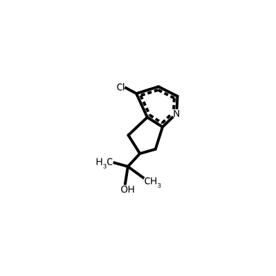 CC(C)(O)C1Cc2nccc(Cl)c2C1